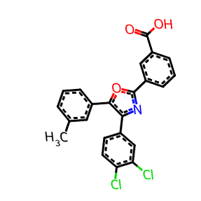 Cc1cccc(-c2oc(-c3cccc(C(=O)O)c3)nc2-c2ccc(Cl)c(Cl)c2)c1